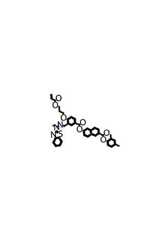 C=CC(=O)OCCCOc1ccc(C(=O)Oc2ccc3cc(C(=O)Oc4ccc(C)cc4C)ccc3c2)cc1/C=N/N(C)c1nc2ccccc2s1